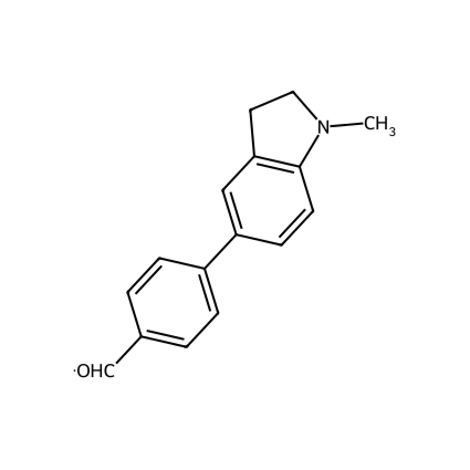 CN1CCc2cc(-c3ccc([C]=O)cc3)ccc21